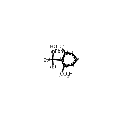 CCCCCC(CC)(CC)c1c(C(=O)O)cccc1C(=O)O